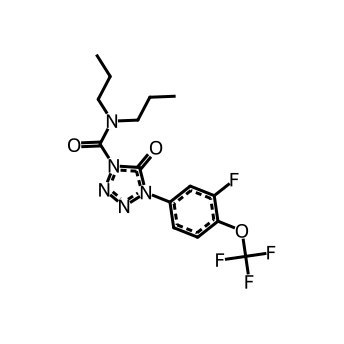 CCCN(CCC)C(=O)n1nnn(-c2ccc(OC(F)(F)F)c(F)c2)c1=O